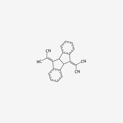 N#CC(C#N)=C1c2ccccc2C2C(=C(C#N)C#N)c3ccccc3C12